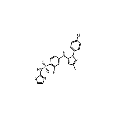 Cc1cc(Nc2ccc(S(=O)(=O)Nc3nccs3)c(F)c2)n(-c2ccc(Cl)cc2)n1